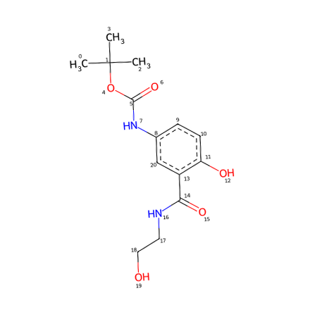 CC(C)(C)OC(=O)Nc1ccc(O)c(C(=O)NCCO)c1